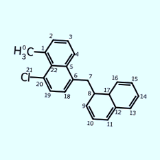 Cc1cccc2c(CC3C=CC=C4C=CC=CC43)ccc(Cl)c12